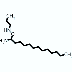 CCCCCCCCCCCCC(N)ONCCC